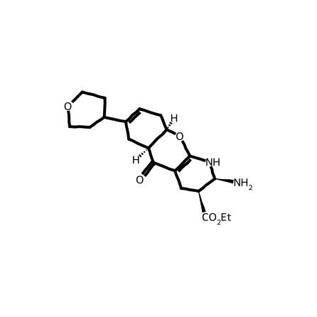 CCOC(=O)[C@H]1CC2=C(N[C@H]1N)O[C@@H]1CC=C(C3CCOCC3)C[C@@H]1C2=O